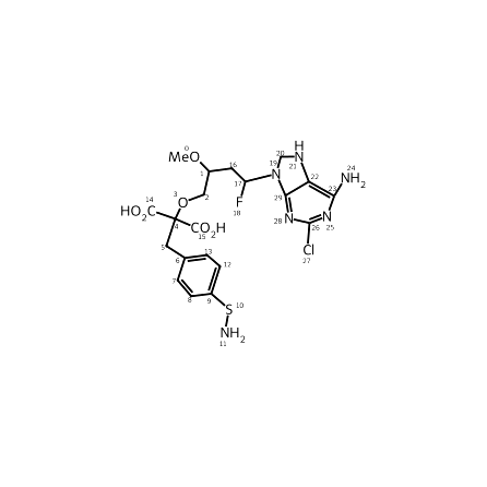 COC(COC(Cc1ccc(SN)cc1)(C(=O)O)C(=O)O)CC(F)N1CNc2c(N)nc(Cl)nc21